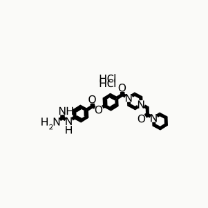 Cl.Cl.N=C(N)Nc1ccc(C(=O)Oc2ccc(C(=O)N3CCN(CC(=O)N4CCCCC4)CC3)cc2)cc1